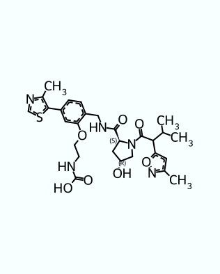 Cc1cc(C(C(=O)N2C[C@H](O)C[C@H]2C(=O)NCc2ccc(-c3scnc3C)cc2OCCNC(=O)O)C(C)C)on1